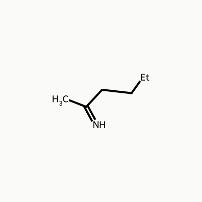 [CH2]CCCC(C)=N